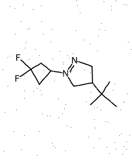 CC(C)(C)C1CN=[N+](C2CC(F)(F)C2)C1